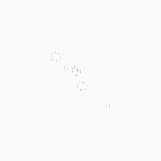 CCCCN(Cc1ccccc1Cl)c1nnc(-c2cc(C)c(OC[C@@H](O)CO)c(C)c2)s1